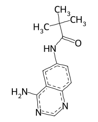 CC(C)(C)C(=O)Nc1ccc2ncnc(N)c2c1